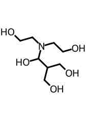 OCCN(CCO)C(O)C(CO)CO